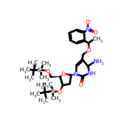 CC(OCC1=CN([C@H]2CC(O[Si](C)(C)C(C)(C)C)[C@@H](CO[Si](C)(C)C(C)(C)C)O2)C(=O)NC1N)c1ccccc1[N+](=O)[O-]